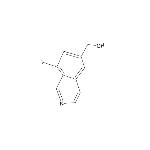 OCc1cc(I)c2cnccc2c1